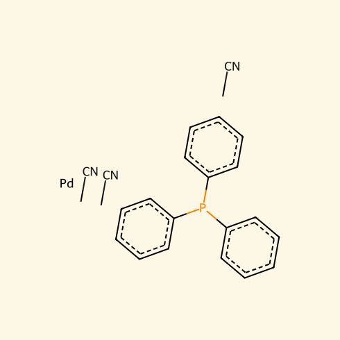 CC#N.CC#N.CC#N.[Pd].c1ccc(P(c2ccccc2)c2ccccc2)cc1